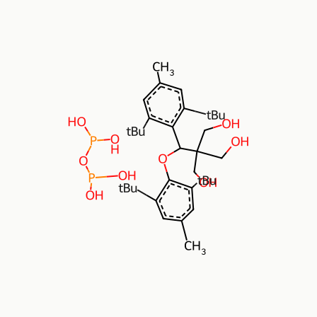 Cc1cc(C(C)(C)C)c(OC(c2c(C(C)(C)C)cc(C)cc2C(C)(C)C)C(CO)(CO)CO)c(C(C)(C)C)c1.OP(O)OP(O)O